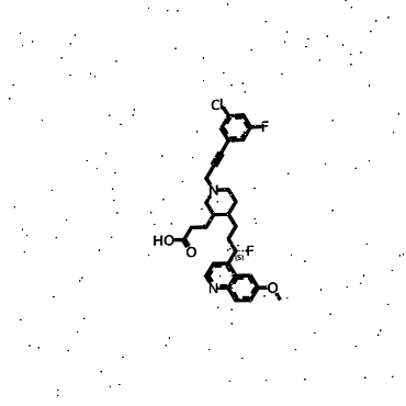 COc1ccc2nccc([C@@H](F)CCC3CCN(CC#Cc4cc(F)cc(Cl)c4)CC3CCC(=O)O)c2c1